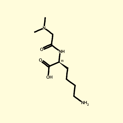 CN(C)CC(=O)N[C@@H](CCCCN)C(=O)O